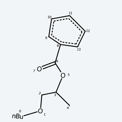 CCCCOCC(C)OC(=O)c1ccccc1